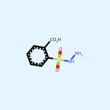 NNS(=O)(=O)c1ccccc1C(=O)O